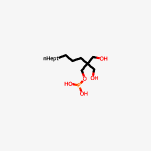 CCCCCCCCCCC(CO)(CO)COP(O)O